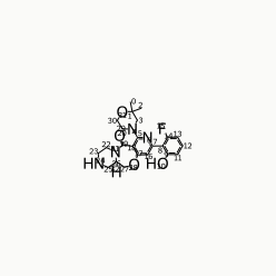 CC1(C)CN(c2nc(-c3c(O)cccc3F)cc3c2C(=O)N2CCNC[C@@H]2CO3)CCO1